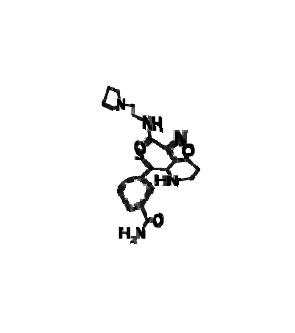 NC(=O)c1cccc(C(=S)C2NCCc3onc(C(=O)NCCN4CCCC4)c32)c1